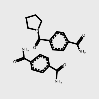 NC(=O)c1ccc(C(=O)N2CCCC2)cc1.NC(=O)c1ccc(C(N)=O)cc1